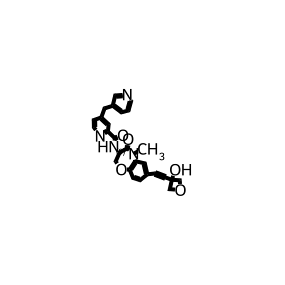 CN1C(=O)[C@@H](NC(=O)c2cc(Cc3cccnc3)ccn2)COc2ccc(C#CC3(O)COC3)cc21